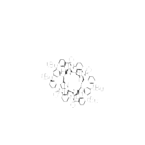 CC(C)(C)c1cc(-c2c3nc(c(-c4c(NC(=O)c5ccccc5)cccc4NC(=O)c4ccccc4)c4ccc([nH]4)c(-c4cc(C(C)(C)C)cc(C(C)(C)C)c4)c4nc(c(-c5c(NC(=O)c6ccccc6)cccc5NC(=O)c5ccccc5)c5ccc2[nH]5)C=C4)C=C3)cc(C(C)(C)C)c1